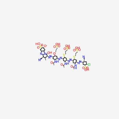 COc1cc2c(cc1S(=O)(=O)O)nc1c(C#N)c(C)c(N=Nc3cc(NC(C)=O)c(N=Nc4cc(NC(C)=O)c(N=Nc5cc(NC(C)=O)c(N=Nc6cc(S(=O)(=O)O)c(Cl)cc6C#N)cc5SCCCS(=O)(=O)O)cc4SCCCS(=O)(=O)O)cc3OCCCS(=O)(=O)O)c(O)n12